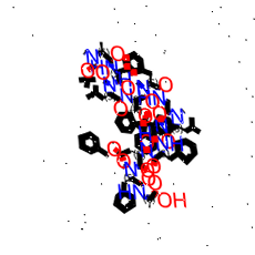 CC(C)C[C@@H](C(=O)N(C)[C@H](C(=O)N[C@@H](Cc1ccccc1)C(=O)N[C@@H](CC(=O)OCc1ccccc1)C(=O)N(C)[C@@H](Cc1ccccc1)C(=O)N[C@@H](C)C(=O)O)C(C)C)N(C)C(=O)CNC(=O)[C@H](Cc1ccccc1)N(C)C(=O)[C@@H](NC(=O)[C@H](CC(C)C)N(C)C(=O)[C@@H](NC(=O)[C@H](C)N(C)C(=O)OC(C)(C)C)C(C)C)[C@@H](C)OC(c1ccccc1)(c1ccccc1)c1ccccc1